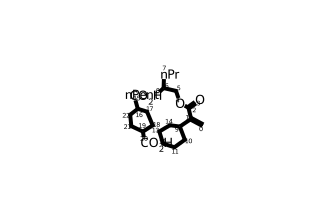 C=C(C(=O)OCC(CCC)CCCCC)C1CCCCC1.O=C(O)C1CCC(C(=O)O)CC1